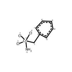 [NH2][Cr]([Cl])([Cl])([Cl])[CH2]c1ccccc1